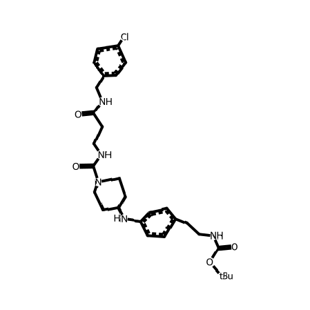 CC(C)(C)OC(=O)NCCc1ccc(NC2CCN(C(=O)NCCC(=O)NCc3ccc(Cl)cc3)CC2)cc1